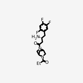 CCC(=O)N1CC2CC1CN2C(=O)C[C@H](N)Cc1cc(F)c(F)cc1F